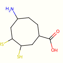 NC1CCC(C(=O)O)CC(S)C(S)C1